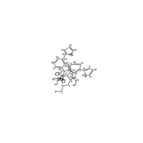 CCCCC1=Cc2c(-c3cccs3)cccc2[CH]1[Zr]([Cl])([Cl])([CH]1C(CCCC)=Cc2c(-c3cccs3)cccc21)[SiH](C)C